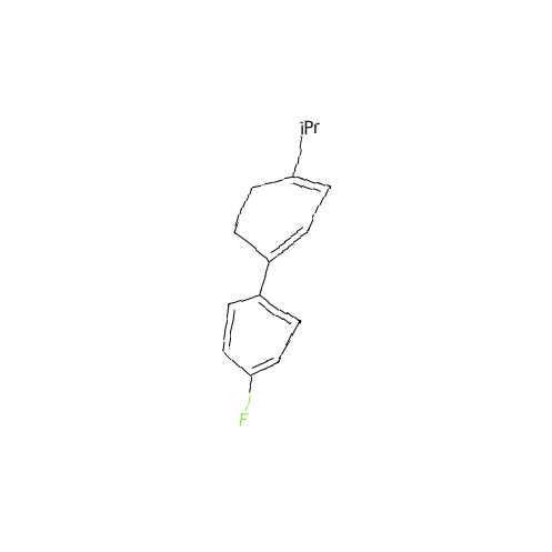 CC(C)C1=CC=C(c2ccc(F)cc2)CC1